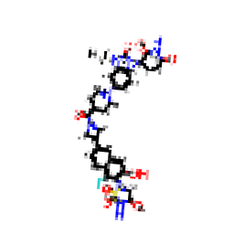 Cn1c(=O)n(C2CCC(=O)NC2=O)c2ccc(N3CCC(C(=O)N4CC(c5ccc6c(F)c(N7CC(=O)NS7(=O)=O)c(O)cc6c5)C4)CC3)cc21